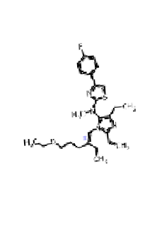 C=Cc1nc(CC)c(N(C)c2nc(-c3ccc(F)cc3)cs2)n1/C=C(\CC)CCCOCC